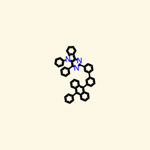 c1ccc(-c2c3ccccc3c(-c3cccc(-c4cccc(-c5nc(-c6ccccc6)c6c(n5)c5ccccc5n6-c5ccccc5)c4)c3)c3ccccc23)cc1